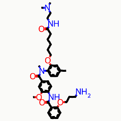 COc1cc(C(=O)N(C)c2ccc(C)cc2OCCCCCC(=O)NCCN(C)C)ccc1NC(=O)c1ccccc1OCCCN